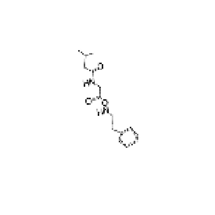 CC(C)CC(=O)NCC(=O)ONCCc1ccccc1